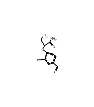 CCC(Oc1ccc(C=O)cc1Br)C(N)=O